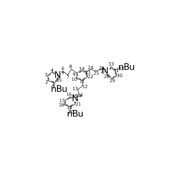 CCCCc1ccc[n+](CCCc2cc(CCC[n+]3cccc(CCCC)c3)cc(CCC[n+]3cccc(CCCC)c3)c2)c1